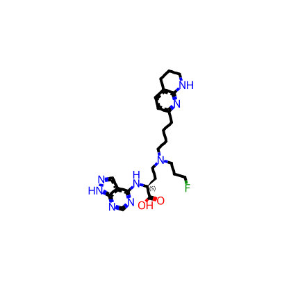 O=C(O)[C@H](CCN(CCCF)CCCCc1ccc2c(n1)NCCC2)Nc1ncnc2[nH]ncc12